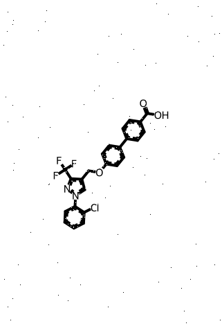 O=C(O)c1ccc(-c2ccc(OCc3cn(-c4ccccc4Cl)nc3C(F)(F)F)cc2)cc1